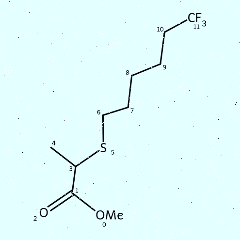 COC(=O)C(C)SCCCCCC(F)(F)F